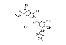 Br.CCOc1cc2c(cc1C(=O)NC)CN(CC(=O)c1cc(NCS(C)(=O)=O)c(O)c(C(C)(C)C)c1)C2=N